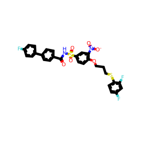 O=C(NS(=O)(=O)c1ccc(OCCCSc2ccc(F)cc2F)c([N+](=O)[O-])c1)c1ccc(-c2ccc(F)cc2)cc1